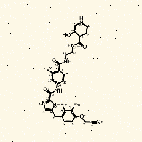 N#CCOc1ccc(Cc2cnc(C(=O)Nc3ccc(C(=O)NCCNC(=O)[C@@H]4CCNC[C@@H]4O)c(Cl)c3)[nH]2)c(F)c1F